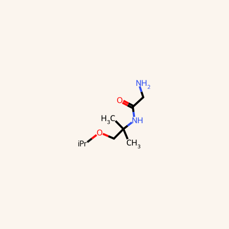 CC(C)OCC(C)(C)NC(=O)CN